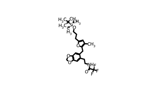 Cc1cc(CCCO[Si](C)(C)C(C)(C)C)oc1Cc1cc2c(cc1CCNC(=O)C(F)(F)F)OCO2